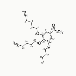 C#CCCCCOc1cc(C(=O)O)cc(OCCCC)c1OCCCCC#C